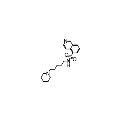 O=S(=O)(NCCCCCN1CCCCC1)c1cccc2cnccc12